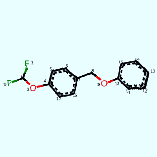 FC(F)Oc1ccc(COc2c[c]ccc2)cc1